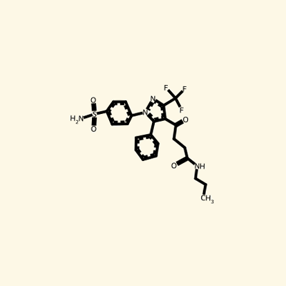 CCCNC(=O)CCC(=O)c1c(C(F)(F)F)nn(-c2ccc(S(N)(=O)=O)cc2)c1-c1ccccc1